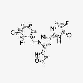 O=c1[nH]c(-c2cc(-c3ccon3)n(Cc3cccc(Cl)c3F)n2)ncc1F